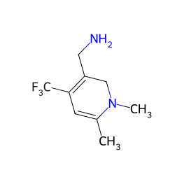 CC1=CC(C(F)(F)F)=C(CN)CN1C